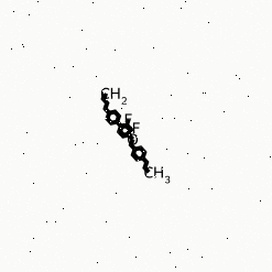 C=CCCC1CCC(c2ccc(OCC3C=CC(CCC)CC3)c(F)c2F)CC1